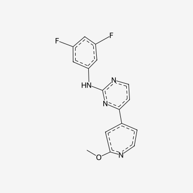 COc1cc(-c2ccnc(Nc3cc(F)cc(F)c3)n2)ccn1